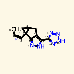 C/C=C\C12CC1Cc1c2n[nH]c1-c1nn[nH]n1